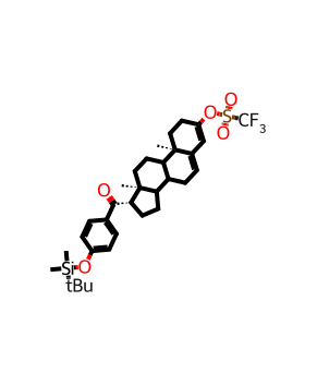 CC(C)(C)[Si](C)(C)Oc1ccc(C(=O)[C@H]2CCC3C4CC=C5C=C(OS(=O)(=O)C(F)(F)F)CC[C@]5(C)C4CC[C@@]32C)cc1